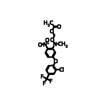 CC(=O)OCON(C)c1cc(Oc2ccc(C(F)(F)F)cc2Cl)ccc1[N+](=O)[O-]